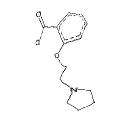 O=C(Cl)c1ccccc1OCCN1CCCC1